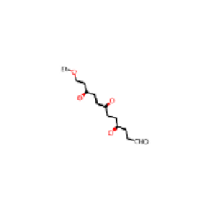 CCOCCC(=O)CCC(=O)CCC(=O)CC[C]=O